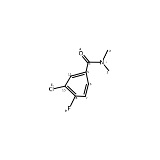 CN(C)C(=O)c1ccc(F)c(Cl)c1